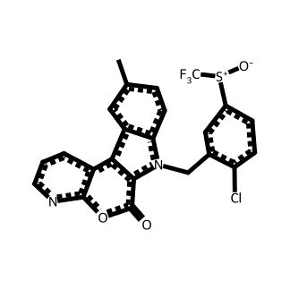 Cc1ccc2c(c1)c1c3cccnc3oc(=O)c1n2Cc1cc([S+]([O-])C(F)(F)F)ccc1Cl